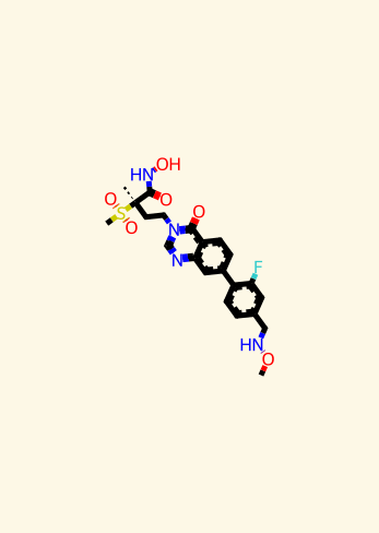 CONCc1ccc(-c2ccc3c(=O)n(CC[C@](C)(C(=O)NO)S(C)(=O)=O)cnc3c2)c(F)c1